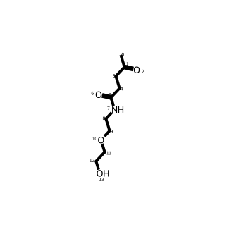 CC(=O)CCC(=O)NCCOCCO